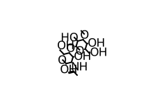 C=C(C)NC1C(O)OC(CO)C(OC2OC(CO)C(O)C(OC)C2O)C1O